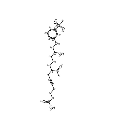 CC(=O)C(CC#CCCCC(=O)O)CCCC(O)COc1cccc(S(C)(=O)=O)c1